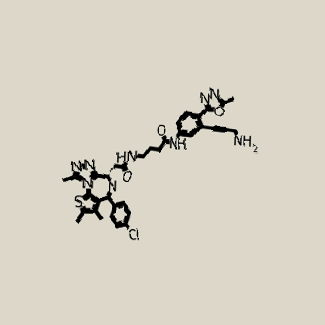 Cc1nnc(-c2ccc(NC(=O)CCCNC(=O)C[C@@H]3N=C(c4ccc(Cl)cc4)c4c(sc(C)c4C)-n4c(C)nnc43)cc2C#CCN)o1